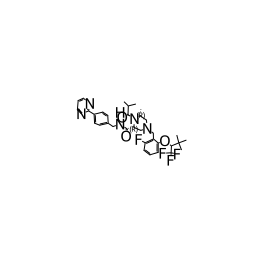 CC(C)C(=O)N1[C@H](C)CN(Cc2c(F)cccc2OC(C(C)(C)C)C(F)(F)F)C[C@@H]1C(=O)NCc1ccc(-c2ncccn2)cc1